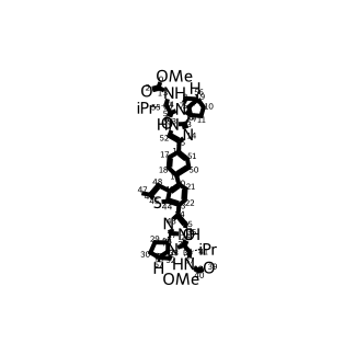 COC(=O)N[C@H](C(=O)N1C[C@@H]2CC[C@@]1(c1nc(-c3ccc(-c4ccc(-c5c[nH]c([C@@]67CC[C@@H](CN6C(=O)[C@@H](NC(=O)OC)C(C)C)C7)n5)c5sc(C)cc45)cc3)c[nH]1)C2)C(C)C